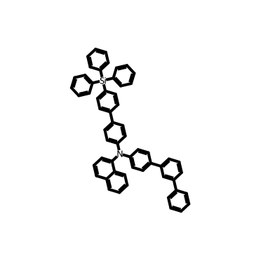 c1ccc(-c2cccc(-c3ccc(N(c4ccc(-c5ccc([Si](c6ccccc6)(c6ccccc6)c6ccccc6)cc5)cc4)c4cccc5ccccc45)cc3)c2)cc1